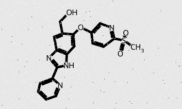 CS(=O)(=O)c1ccc(Oc2cc3[nH]c(-c4ccccn4)nc3cc2CO)cn1